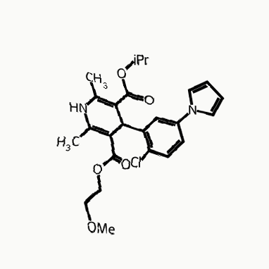 COCCOC(=O)C1=C(C)NC(C)=C(C(=O)OC(C)C)C1c1cc(-n2cccc2)ccc1Cl